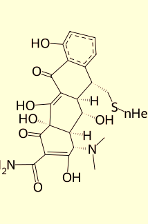 CCCCCCSC[C@H]1c2cccc(O)c2C(=O)C2=C(O)[C@]3(O)C(=O)C(C(N)=O)=C(O)[C@@H](N(C)C)[C@@H]3[C@@H](O)[C@@H]21